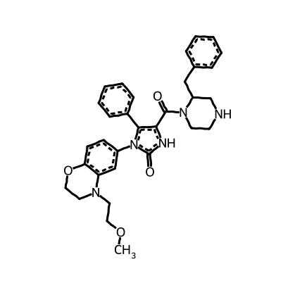 COCCN1CCOc2ccc(-n3c(-c4ccccc4)c(C(=O)N4CCNCC4Cc4ccccc4)[nH]c3=O)cc21